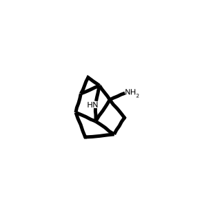 NC12CC3CC4C5CC51NC342